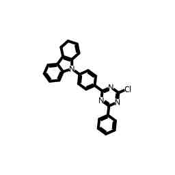 Clc1nc(-c2ccccc2)nc(-c2ccc(-n3c4c(c5ccccc53)CCC=C4)cc2)n1